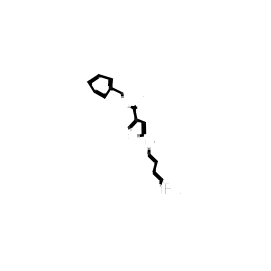 CCCCC=CC=COc1cc(C(=O)OCc2ccccc2)co1